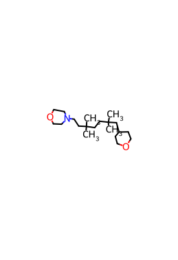 CC(C)(CCN1CCOCC1)CCC(C)(C)CC1CCOCC1